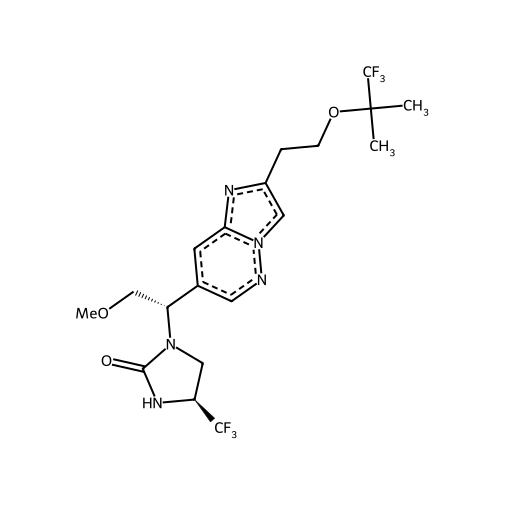 COC[C@H](c1cnn2cc(CCOC(C)(C)C(F)(F)F)nc2c1)N1C[C@@H](C(F)(F)F)NC1=O